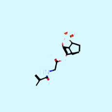 C=C(C)C(=O)NCC(=O)OC1=C2OS(=O)(=O)C3CC1CC23